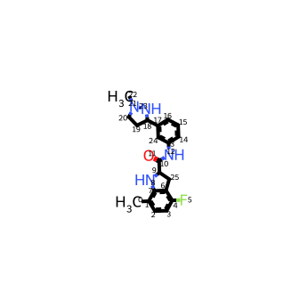 Cc1ccc(F)c2c1NC(C(=O)Nc1cccc(C3CCN(C)N3)c1)C2